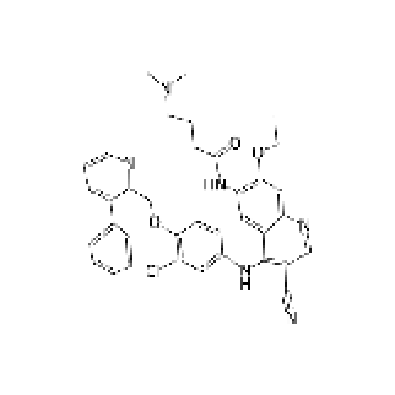 CCOc1cc2ncc(C#N)c(Nc3ccc(OCc4ncccc4-c4ccccc4)c(Cl)c3)c2cc1NC(=O)CCCN(C)C